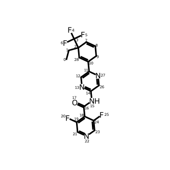 CCC1(C(F)(F)F)C=CCC(c2cnc(NC(=O)c3c(F)cncc3F)cn2)=C1